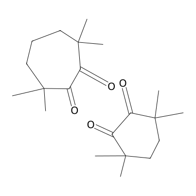 CC1(C)CCC(C)(C)C(=O)C1=O.CC1(C)CCCC(C)(C)C(=O)C1=O